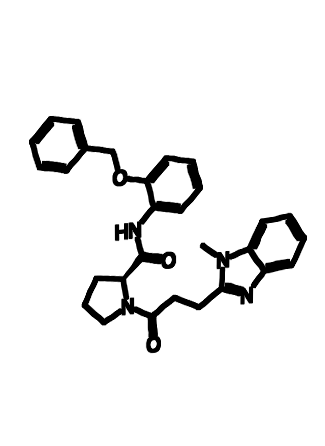 Cn1c(CCC(=O)N2CCC[C@H]2C(=O)Nc2ccccc2OCc2ccccc2)nc2ccccc21